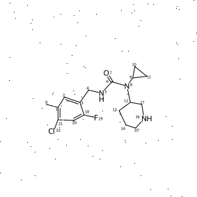 Cc1cc(CNC(=O)N(C2CC2)C2CCCNC2)c(F)cc1Cl